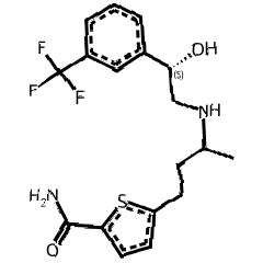 CC(CCc1ccc(C(N)=O)s1)NC[C@@H](O)c1cccc(C(F)(F)F)c1